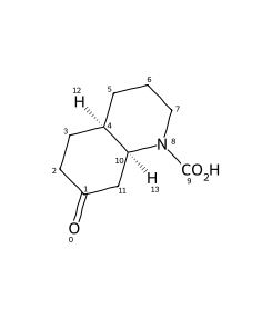 O=C1CC[C@H]2CCCN(C(=O)O)[C@H]2C1